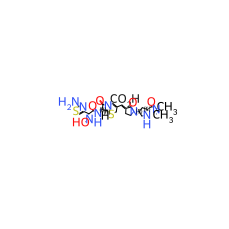 CN(C)C(=O)[C@@H]1C[C@H](N2CCC(=CC3=C(C(=O)O)N4C(=O)[C@@H](NC(=O)C(=NO)c5csc(N)n5)[C@H]4SC3)C2=O)CN1